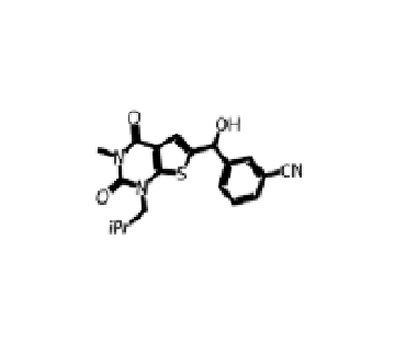 CC(C)Cn1c(=O)n(C)c(=O)c2cc(C(O)c3cccc(C#N)c3)sc21